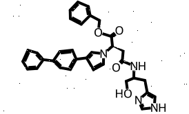 O=C(C[C@H](C(=O)OCc1ccccc1)n1ccc(-c2ccc(-c3ccccc3)cc2)c1)NC(CO)Cc1c[nH]cn1